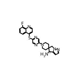 N[C@@H]1c2ccnn2CC12CCN(c1cnc(Sc3ccnc4c(F)cccc34)cn1)CC2